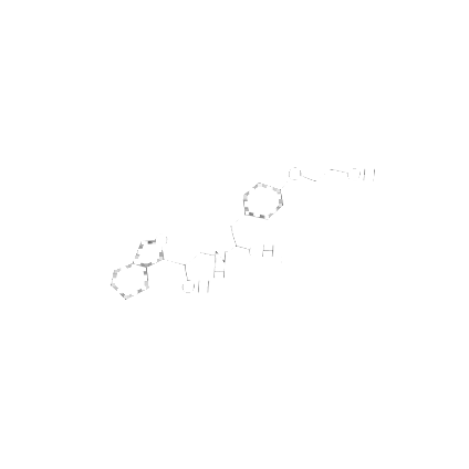 CC(Cc1ccc(OCCO)cc1)NCC(O)c1occ2ccccc12